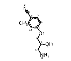 N#Cc1ccc(OCC(O)CN)cc1Cl